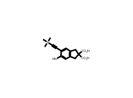 CCCCc1cc2c(cc1C#C[Si](C)(C)C)CC(C(=O)OCC)(C(=O)OCC)C2